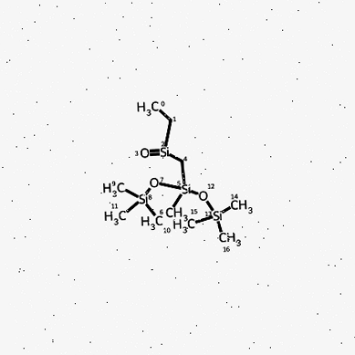 CC[Si](=O)C[Si](C)(O[Si](C)(C)C)O[Si](C)(C)C